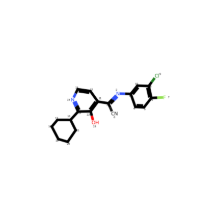 N#C/C(=N\c1ccc(F)c(Cl)c1)c1ccnc(C2CCCCC2)c1O